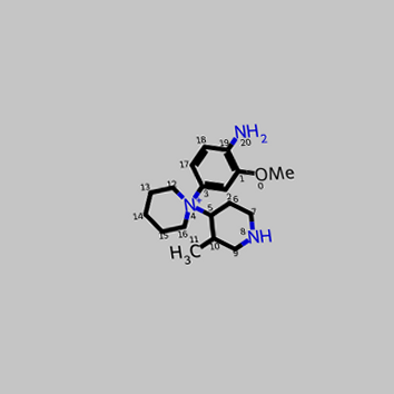 COc1cc([N+]2(C3CCNCC3C)CCCCC2)ccc1N